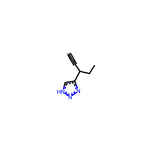 [C]#CC(CC)c1c[nH]nn1